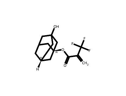 C=C(C(=O)O[C@@]12CC3C[C@H](CC(O)(C3)C1)C2)C(F)(F)F